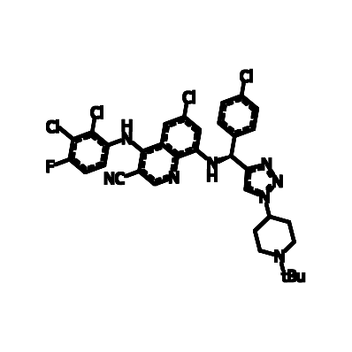 CC(C)(C)N1CCC(n2cc([C@@H](Nc3cc(Cl)cc4c(Nc5ccc(F)c(Cl)c5Cl)c(C#N)cnc34)c3ccc(Cl)cc3)nn2)CC1